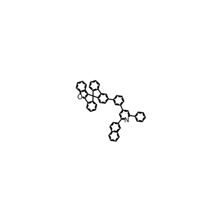 c1ccc(-c2cc(-c3cccc(-c4ccc5c(c4)-c4ccccc4C54c5ccccc5-c5oc6ccccc6c54)c3)cc(-c3ccc4ccccc4c3)n2)cc1